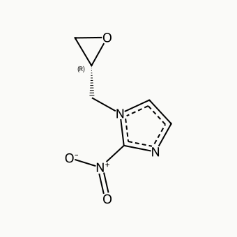 O=[N+]([O-])c1nccn1C[C@@H]1CO1